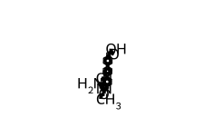 CCOc1nc(N)c2c(n1)CCN(c1ccc(C3CCC(CC(=O)O)CC3)cc1)C2=O